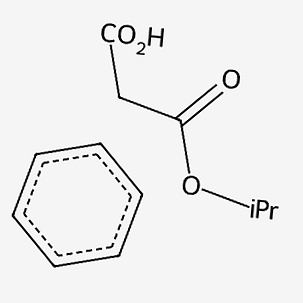 CC(C)OC(=O)CC(=O)O.c1ccccc1